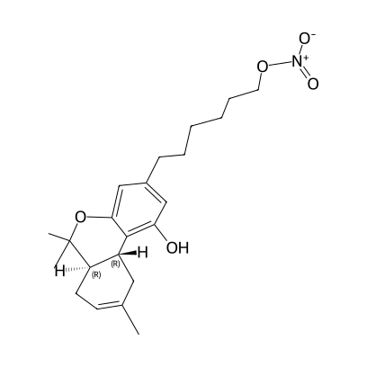 CC1=CC[C@@H]2[C@@H](C1)c1c(O)cc(CCCCCCO[N+](=O)[O-])cc1OC2(C)C